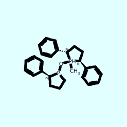 C[PH]1(OP2CCC[C@H]2c2ccccc2)[C@H](c2ccccc2)CC[C@H]1c1ccccc1